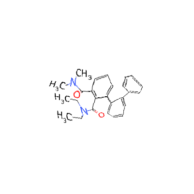 CCN(CC)C(=O)c1c(C(=O)N(C)C)cccc1-c1ccccc1-c1ccccc1